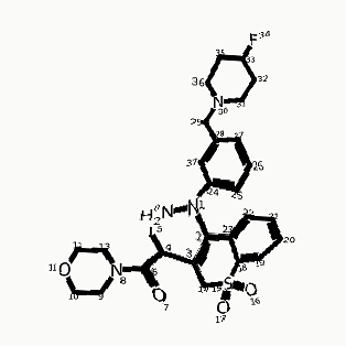 NN(C1=C(C(I)C(=O)N2CCOCC2)CS(=O)(=O)c2ccccc21)c1cccc(CN2CCC(F)CC2)c1